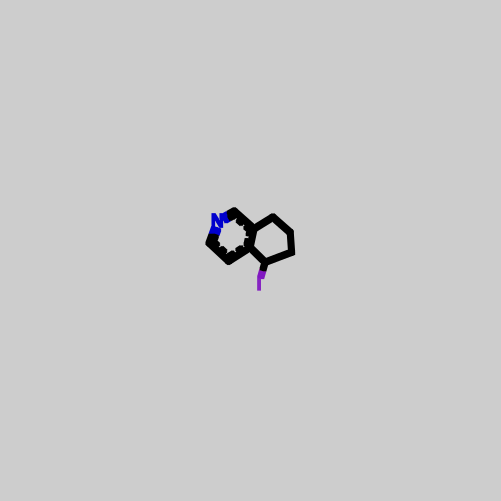 IC1CCCc2cnccc21